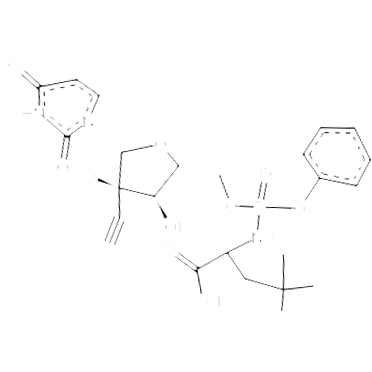 C#C[C@@]1(O)[C@H](O)[C@@H](COP(=O)(N[C@@](C)(CC(C)(C)C)C(=O)O)Oc2ccccc2)O[C@H]1n1ccc(=O)[nH]c1=O